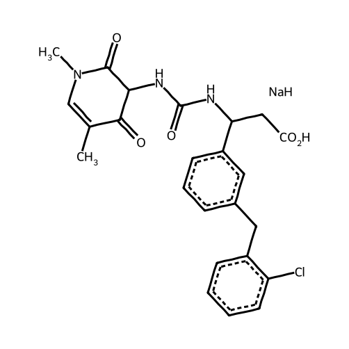 CC1=CN(C)C(=O)C(NC(=O)NC(CC(=O)O)c2cccc(Cc3ccccc3Cl)c2)C1=O.[NaH]